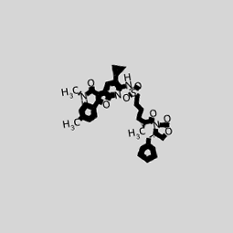 CNC(=O)c1c(-c2ccc(C)cc2)oc2nc(NS(=O)(=O)CCCC[C@H](C)C(=O)N3C(=O)OC[C@@H]3Cc3ccccc3)c(C3CC3)cc12